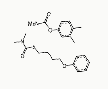 CN(C)C(=O)SCCCCOc1ccccc1.CNC(=O)Oc1ccc(C)c(C)c1